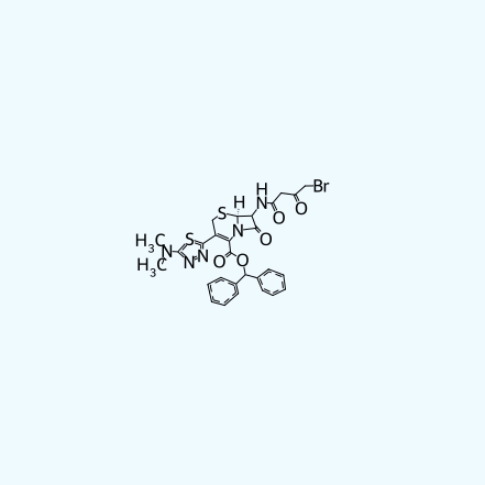 CN(C)c1nnc(C2=C(C(=O)OC(c3ccccc3)c3ccccc3)N3C(=O)C(NC(=O)CC(=O)CBr)[C@@H]3SC2)s1